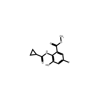 COC(=O)c1cc(F)cc(O)c1NC(=O)C1CC1